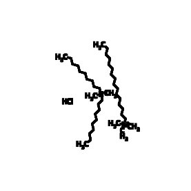 CCCCCCCCCCCCCCCC[N+](C)(C)C.CCCCCCCCCC[N+](C)(C)CCCCCCCCCC.Cl